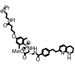 COC(=O)[C@@H](CNC(=O)c1ccc(CCc2ccc3c(n2)NCCC3)cc1)NS(=O)(=O)c1c(C)cc(OCCCC(=O)NCCNC(C)C)cc1C